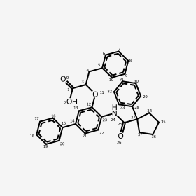 O=C(O)C(Cc1ccccc1)Oc1cc(-c2ccccc2)ccc1NC(=O)C1(c2ccccc2)CCCC1